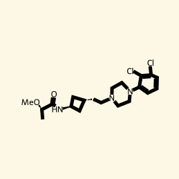 CO[C@@H](C)C(=O)N[C@H]1C[C@H](CCN2CCN(c3cccc(Cl)c3Cl)CC2)C1